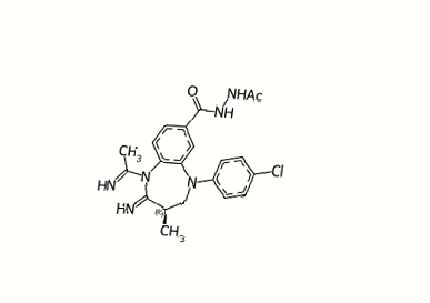 CC(=N)N1C(=N)[C@H](C)CN(c2ccc(Cl)cc2)c2cc(C(=O)NNC(C)=O)ccc21